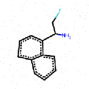 NC(CF)c1cccc2ccccc12